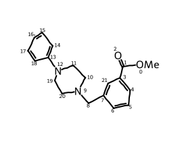 COC(=O)c1cccc(CN2CCN(c3cc[c]cc3)CC2)c1